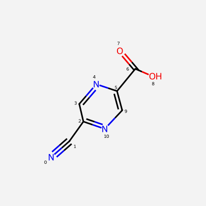 N#Cc1cnc(C(=O)O)cn1